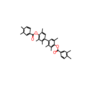 Cc1ccc(C(=O)Oc2c(C)cc(-c3cc(C)c(OC(=O)c4ccc(C)c(C)c4)c(C)c3C)c(C)c2C)cc1C